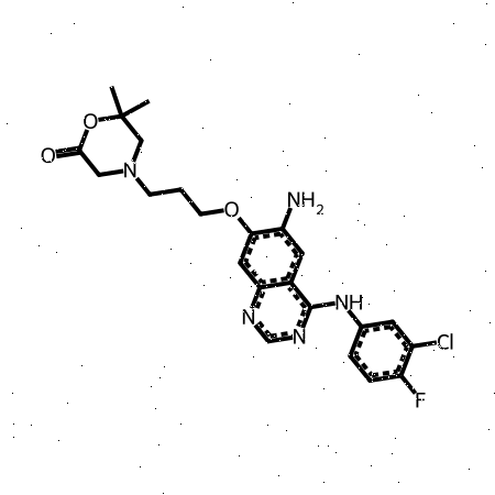 CC1(C)CN(CCCOc2cc3ncnc(Nc4ccc(F)c(Cl)c4)c3cc2N)CC(=O)O1